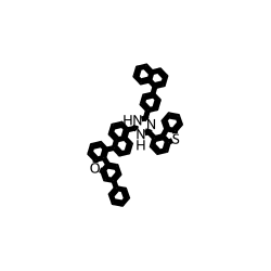 c1ccc(-c2ccc3c(c2)oc2cccc(-c4cccc5c(C6NC(c7cccc8sc9ccccc9c78)=NC(c7ccc(-c8cccc9ccccc89)cc7)N6)cccc45)c23)cc1